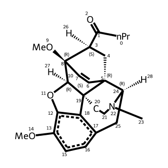 CCCC(=O)[C@H]1C[C@@]23C=C[C@]1(OC)[C@@H]1Oc4c(OC)ccc5c4[C@@]12CCN(C)[C@@H]3C5